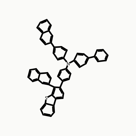 c1ccc(-c2ccc(N(c3ccc(-c4ccc5ccccc5c4)cc3)c3ccc(-c4ccc5c(sc6ccccc65)c4-c4ccc5ccccc5c4)cc3)cc2)cc1